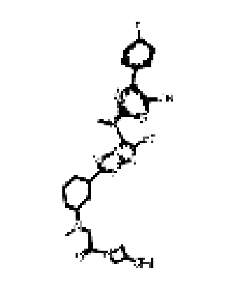 CCc1nc2sc(C3CCCC(N(C)CC(=O)N4CC(O)C4)C3)nn2c1N(C)c1nc(-c2ccc(F)cc2)c(C#N)s1